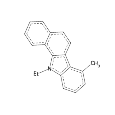 CCn1c2cccc(C)c2c2ccc3ccccc3c21